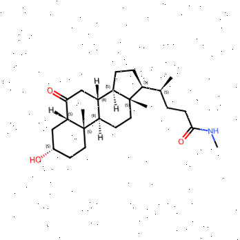 CNC(=O)CC[C@H](C)[C@@H]1CC[C@@H]2[C@H]3CC(=O)[C@H]4C[C@@H](O)CC[C@@]4(C)[C@@H]3CC[C@]21C